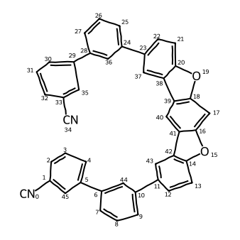 [C-]#[N+]c1cccc(-c2cccc(-c3ccc4oc5cc6oc7ccc(-c8cccc(-c9cccc(C#N)c9)c8)cc7c6cc5c4c3)c2)c1